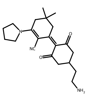 CC1(C)CC(=C2C(=O)CC(CCN)CC2=O)C(C#N)=C(N2CCCC2)C1